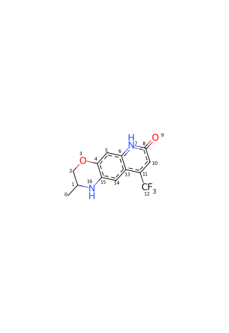 CC1COc2cc3[nH]c(=O)cc(C(F)(F)F)c3cc2N1